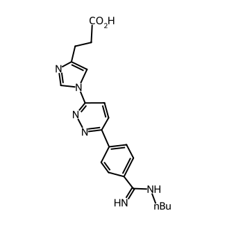 CCCCNC(=N)c1ccc(-c2ccc(-n3cnc(CCC(=O)O)c3)nn2)cc1